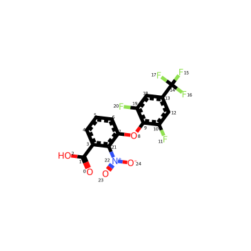 O=C(O)c1cccc(Oc2c(F)cc(C(F)(F)F)cc2F)c1[N+](=O)[O-]